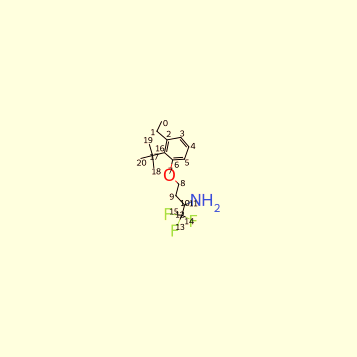 CCc1cccc(OCCC(N)C(F)(F)F)c1C(C)(C)C